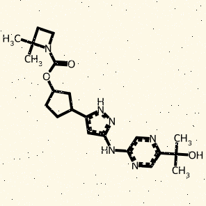 CC(C)(O)c1cnc(Nc2cc(C3CCC(OC(=O)N4CCC4(C)C)C3)[nH]n2)cn1